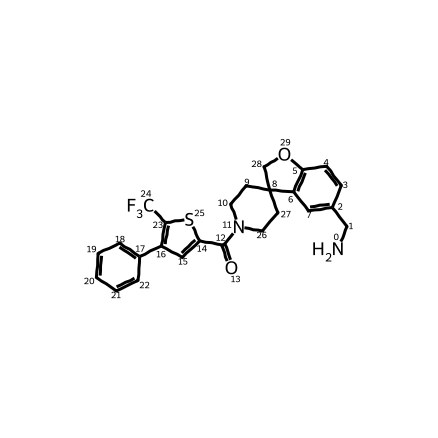 NCc1ccc2c(c1)C1(CCN(C(=O)c3cc(-c4ccccc4)c(C(F)(F)F)s3)CC1)CO2